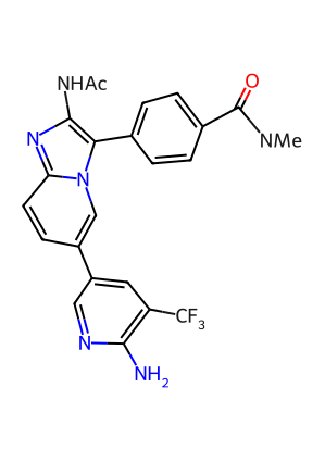 CNC(=O)c1ccc(-c2c(NC(C)=O)nc3ccc(-c4cnc(N)c(C(F)(F)F)c4)cn23)cc1